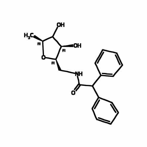 C[C@@H]1O[C@H](CNC(=O)C(c2ccccc2)c2ccccc2)[C@H](O)C1O